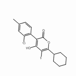 Cc1ccc(-c2c(O)c(F)c(C3CCCCC3)oc2=O)c(Cl)c1